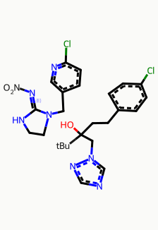 CC(C)(C)C(O)(CCc1ccc(Cl)cc1)Cn1cncn1.O=[N+]([O-])/N=C1\NCCN1Cc1ccc(Cl)nc1